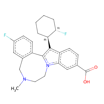 CN1CCn2c(c([C@H]3CCCC[C@@H]3F)c3ccc(C(=O)O)cc32)-c2ccc(F)cc2C1